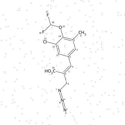 Cc1cc(/C=C(/CN=[N+]=[N-])C(=O)O)cc(Cl)c1OC(F)F